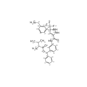 CC(C)C(N)C(=O)OC(c1ccccc1)c1cccc(NC(=O)C2=CC(c3cccc(CN)c3)(C(F)(F)F)NN2)c1